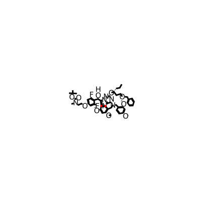 CCC[C@H](CCOCc1ccccc1)Oc1nc(N(Cc2ccc(OC)cc2OC)Cc2ccc(OC)cc2OC)c2ncc(C(O)c3c(F)cc(OCCN(C)C(=O)OC(C)(C)C)cc3F)n2n1